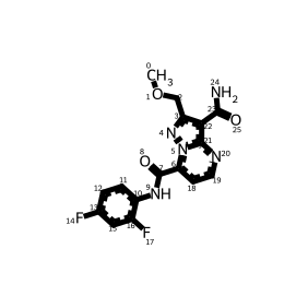 COCc1nn2c(C(=O)Nc3ccc(F)cc3F)ccnc2c1C(N)=O